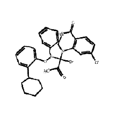 O=C1NCN(C(Br)(C(=O)O)N(Oc2ccccc2C2CCCCC2)c2ccccc2)c2cc(Cl)ccc21